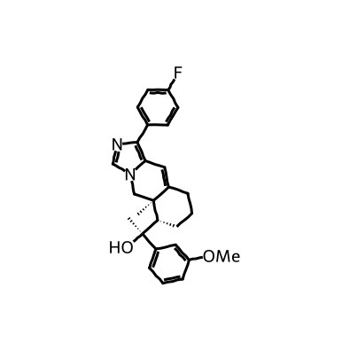 COc1cccc([C@@](C)(O)[C@H]2CCCC3=Cc4c(-c5ccc(F)cc5)ncn4C[C@@]32C)c1